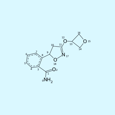 NC(=O)c1ccccc1C1CC(OC2COC2)=NO1